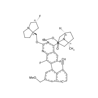 C#Cc1cccc2cc(COC)cc(-c3c(F)cc4c(N5C[C@H]6CC[C@@](C)(C5)N6C(=O)OC(C)(C)C)nc(OC[C@@]56CCCN5C[C@H](F)C6)nc4c3F)c12